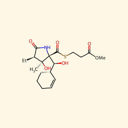 CC[C@H]1C(=O)N[C@](C(=O)SCCC(=O)OC)([C@@H](O)[C@@H]2C=CCCC2)[C@@]1(C)O